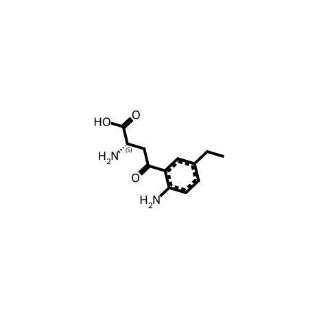 CCc1ccc(N)c(C(=O)C[C@H](N)C(=O)O)c1